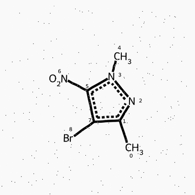 Cc1nn(C)c([N+](=O)[O-])c1Br